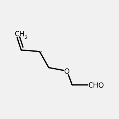 C=C[CH]COCC=O